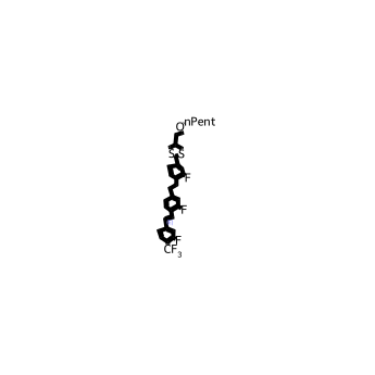 CCCCCOCCC1CSC(c2ccc(CCc3ccc(/C=C/c4ccc(C(F)(F)F)c(F)c4)c(F)c3)c(F)c2)SC1